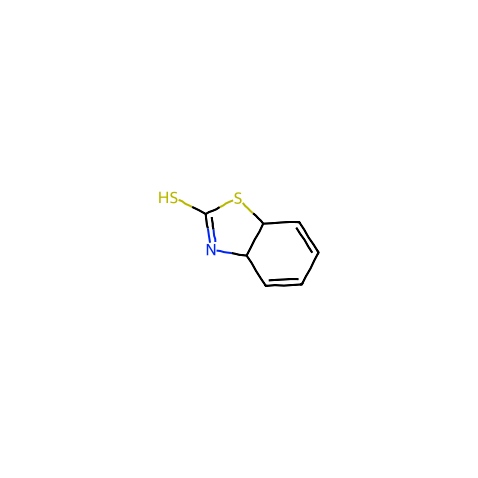 SC1=NC2C=CC=CC2S1